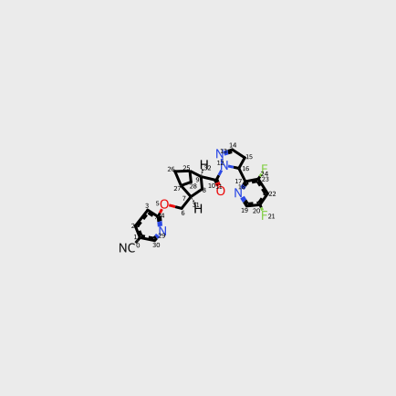 N#Cc1ccc(OC[C@@H]2C[C@H](C(=O)N3N=CCC3c3ncc(F)cc3F)C3CC2C3)nc1